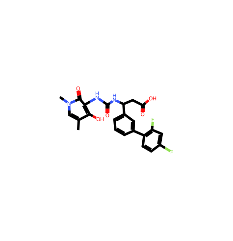 Cc1cn(C)c(=O)c(NC(=O)NC(CC(=O)O)c2cccc(-c3ccc(F)cc3F)c2)c1O